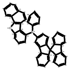 c1ccc(N(c2ccc3c(c2)-c2ccccc2C32c3ccccc3-c3ccccc32)c2cccc3oc4c5ccccc5ccc4c23)cc1